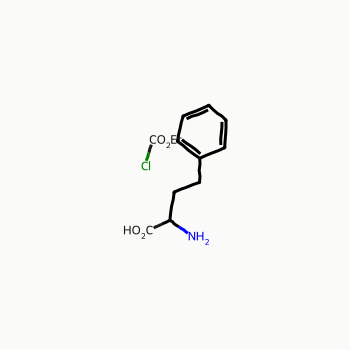 CCOC(=O)Cl.NC(CCc1ccccc1)C(=O)O